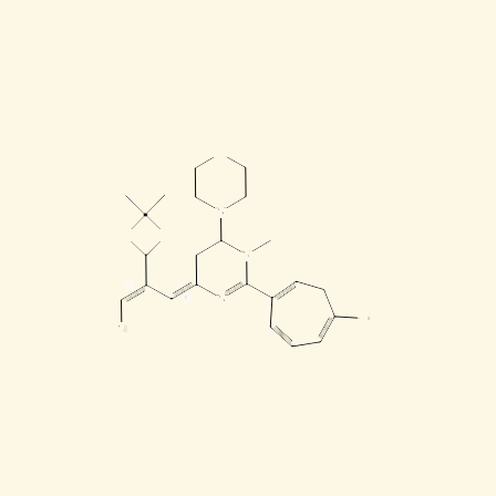 CN1C(C2=CCC(O)=CC=C2)=N/C(=C/C(=C\N)C2OC(C)(C)O2)CC1N1CCOCC1